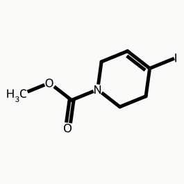 COC(=O)N1CC=C(I)CC1